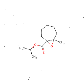 CC(C)OC(=O)C12CCCCCC1(C)O2